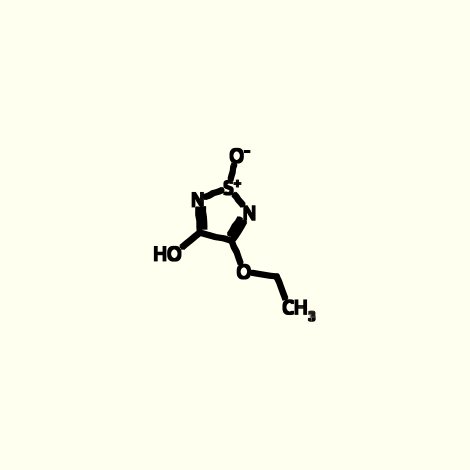 CCOc1n[s+]([O-])nc1O